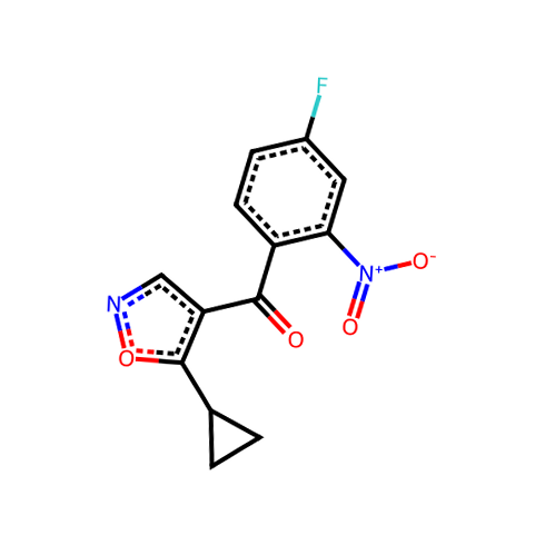 O=C(c1ccc(F)cc1[N+](=O)[O-])c1cnoc1C1CC1